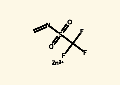 C=NS(=O)(=O)C(F)(F)F.[Zn+2]